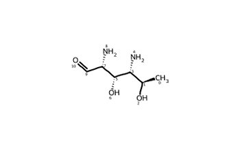 C[C@@H](O)[C@@H](N)[C@H](O)[C@@H](N)C=O